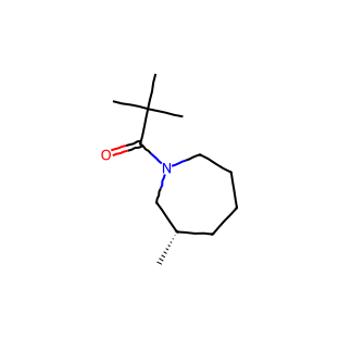 C[C@H]1CCCCN(C(=O)C(C)(C)C)C1